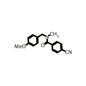 COc1ccc(CN(C)C(=O)c2ccc(C#N)cc2)cc1